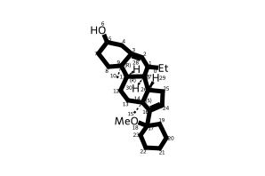 CCC1C=C2CC(O)CC[C@]2(C)[C@@H]2CC[C@]3(C)C(C4(OC)CCCCC4)=CC[C@H]3[C@H]12